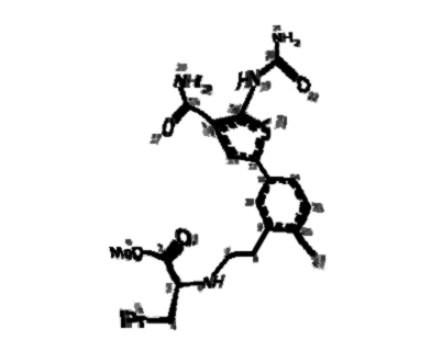 COC(=O)[C@H](CC(C)C)NCCc1cc(-c2cc(C(N)=O)c(NC(N)=O)s2)ccc1C